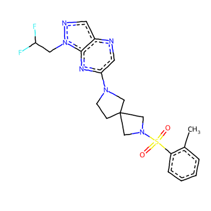 Cc1ccccc1S(=O)(=O)N1CC2(CCN(c3cnc4cnn(CC(F)F)c4n3)C2)C1